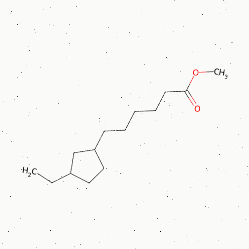 [CH2]CC1C[CH]C(CCCCCC(=O)OC)C1